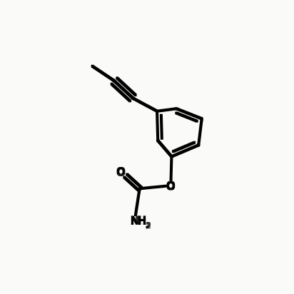 CC#Cc1cccc(OC(N)=O)c1